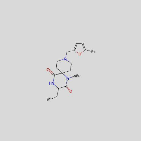 CCCCN1C(=O)C(CC(C)C)NC(=O)C12CCN(Cc1ccc(CC)o1)CC2